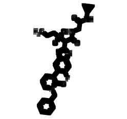 O=C(CNC(=O)C(c1nc2cc(F)c(-c3cccn(Cc4ccccc4)c3=O)cc2s1)S(=O)(=O)CCC(F)(F)F)NC1CC1